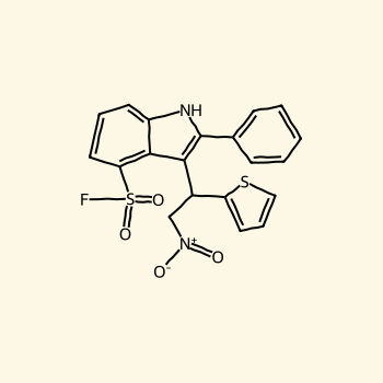 O=[N+]([O-])CC(c1cccs1)c1c(-c2ccccc2)[nH]c2cccc(S(=O)(=O)F)c12